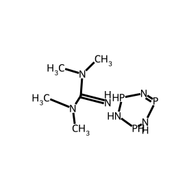 CN(C)C(=N)N(C)C.n1p[nH][pH][nH][pH]1